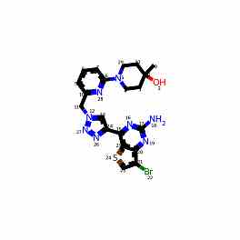 CC1(O)CCN(c2cccc(Cn3cc(-c4nc(N)nc5c(Br)csc45)nn3)n2)CC1